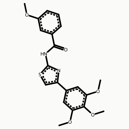 COc1cccc(C(=O)Nc2nc(-c3cc(OC)c(OC)c(OC)c3)cs2)c1